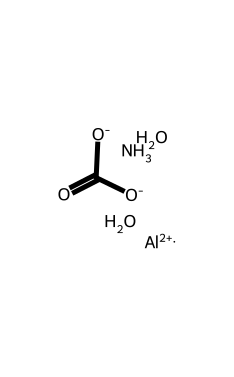 N.O.O.O=C([O-])[O-].[Al+2]